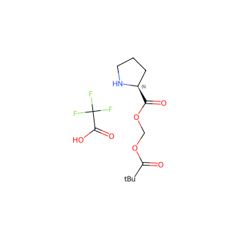 CC(C)(C)C(=O)OCOC(=O)[C@@H]1CCCN1.O=C(O)C(F)(F)F